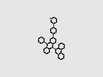 c1ccc(-c2c3ccccc3c(-c3cc4ccccc4c4ccccc34)c3ccc(-c4ccc(-c5cccnc5)cc4)cc23)cc1